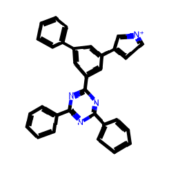 C1=[N+]=CC(c2cc(-c3ccccc3)cc(-c3nc(-c4ccccc4)nc(-c4ccccc4)n3)c2)=C1